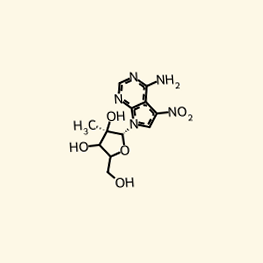 C[C@@]1(O)C(O)C(CO)O[C@H]1n1cc([N+](=O)[O-])c2c(N)ncnc21